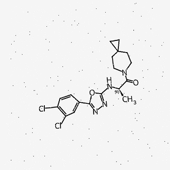 C[C@@H](Nc1nnc(-c2ccc(Cl)c(Cl)c2)o1)C(=O)N1CCC2(CC1)CC2